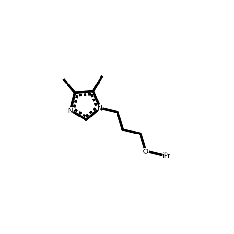 Cc1ncn(CCCOC(C)C)c1C